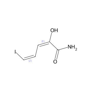 NC(=O)/C(O)=C\C=C/I